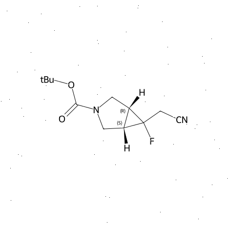 CC(C)(C)OC(=O)N1C[C@@H]2[C@H](C1)C2(F)CC#N